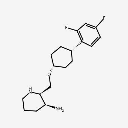 N[C@H]1CCCN[C@H]1CO[C@H]1CC[C@@H](c2ccc(F)cc2F)CC1